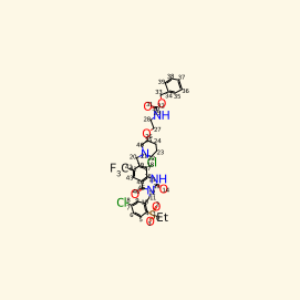 CCS(=O)(=O)c1ccc(Cl)cc1Cn1c(=O)[nH]c2c(Cl)c(CN3CCC[C@H](OCCNC(=O)OCc4ccccc4)C3)c(C(F)(F)F)cc2c1=O